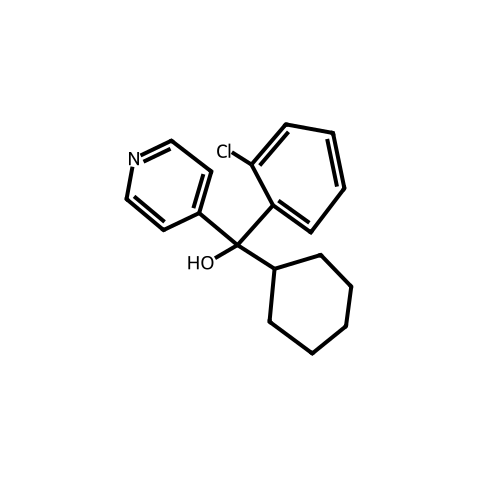 OC(c1ccncc1)(c1ccccc1Cl)C1CCCCC1